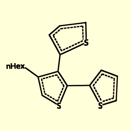 CCCCCCc1csc(-c2cccs2)c1-c1cccs1